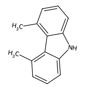 Cc1cccc2[nH]c3cccc(C)c3c12